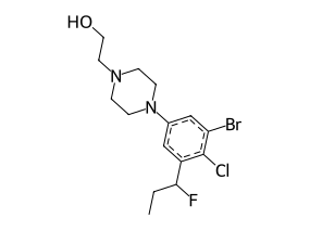 CCC(F)c1cc(N2CCN(CCO)CC2)cc(Br)c1Cl